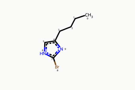 CCCCc1c[nH]c(Br)n1